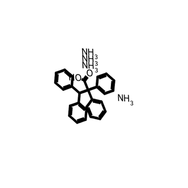 N.N.N.N.O=C(O)C(c1ccccc1)(c1ccccc1)C(c1ccccc1)c1ccccc1